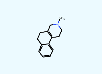 CN1CCC2=C(CCc3ccccc32)C1